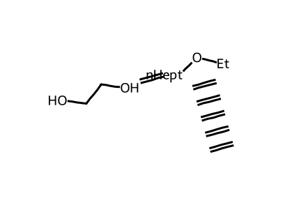 C=C.C=C.C=C.C=C.C=C.C=C.CCCCCCCOCC.OCCO